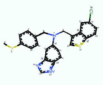 CSc1ccc(CN(Cc2csc3ccc(Cl)cc23)c2ccc3[nH]cnc3c2)cc1